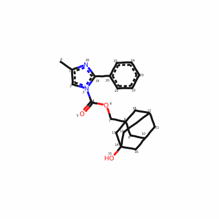 Cc1cn(C(=O)OCC23CC4CC(CC(O)(C4)C2)C3)c(-c2ccccc2)n1